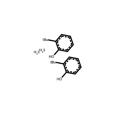 CC(C)(C)c1ccccc1O.CC(C)(C)c1ccccc1O.S.S